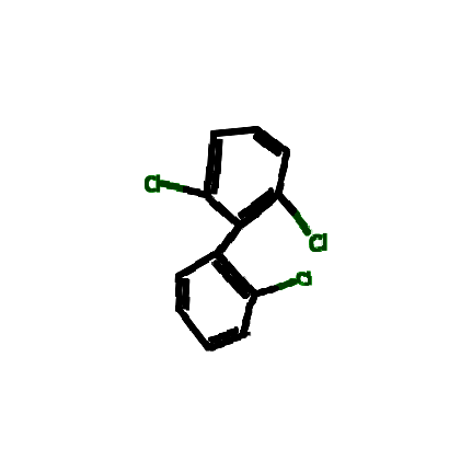 Clc1[c]cccc1-c1c(Cl)cccc1Cl